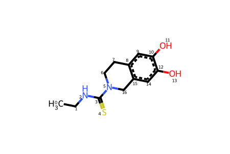 CCNC(=S)N1CCc2cc(O)c(O)cc2C1